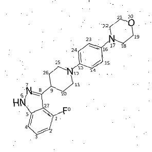 Fc1cccc2[nH]nc(C3CCN(c4ccc(N5CCOCC5)cc4)CC3)c12